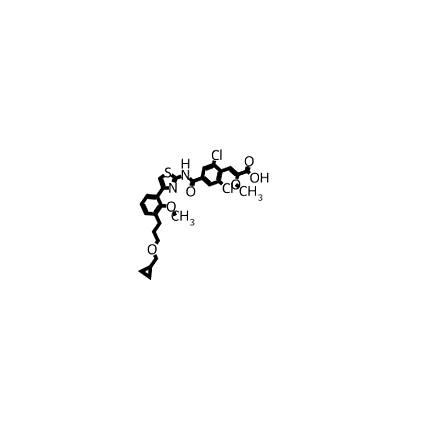 COC(=Cc1c(Cl)cc(C(=O)Nc2nc(-c3cccc(CCCOCC4CC4)c3OC)cs2)cc1Cl)C(=O)O